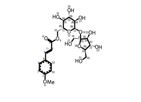 COc1ccc(/C=C/C(=O)OC[C@H]2O[C@H](O[C@]3(CO)O[C@H](CO)[C@@H](O)[C@@H]3O)[C@H](O)[C@@H](O)[C@@H]2O)cc1